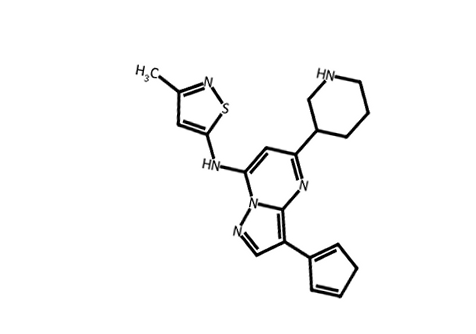 Cc1cc(Nc2cc(C3CCCNC3)nc3c(C4=CCC=C4)cnn23)sn1